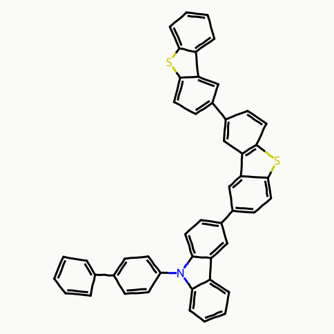 c1ccc(-c2ccc(-n3c4ccccc4c4cc(-c5ccc6sc7ccc(-c8ccc9sc%10ccccc%10c9c8)cc7c6c5)ccc43)cc2)cc1